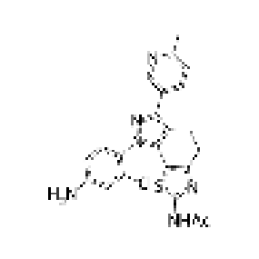 CC(=O)Nc1nc2c(s1)-c1c(c(-c3ccc(C)nc3)nn1-c1ccc(N)cc1Cl)CC2